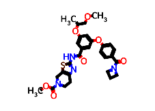 COCC(C)Oc1cc(Oc2ccc(C(=O)N3CCC3)cc2)cc(C(=O)Nc2nc3c(s2)CN(C(=O)OC)CC3)c1